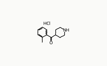 Cc1ccccc1C(=O)C1CCNCC1.Cl